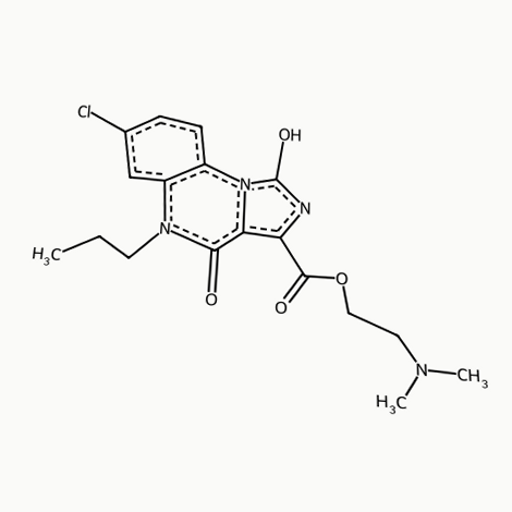 CCCn1c(=O)c2c(C(=O)OCCN(C)C)nc(O)n2c2ccc(Cl)cc21